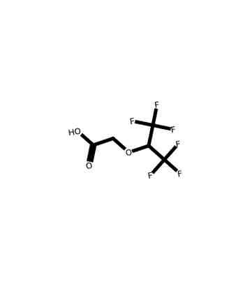 O=C(O)COC(C(F)(F)F)C(F)(F)F